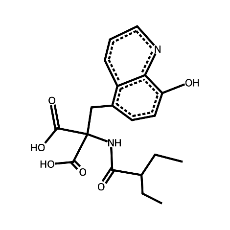 CCC(CC)C(=O)NC(Cc1ccc(O)c2ncccc12)(C(=O)O)C(=O)O